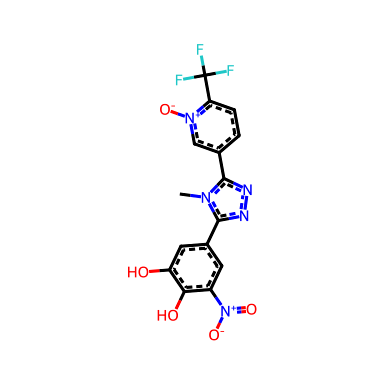 Cn1c(-c2cc(O)c(O)c([N+](=O)[O-])c2)nnc1-c1ccc(C(F)(F)F)[n+]([O-])c1